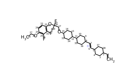 C=CC1CCC(/C=C/C2CCC(C3CCC(OCC(F)(F)Oc4ccc(OCC)c(F)c4F)CC3)CC2)CC1